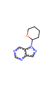 c1ncc2c(cnn2C2CCCCO2)n1